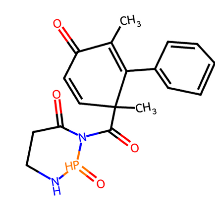 CC1=C(c2ccccc2)C(C)(C(=O)N2C(=O)CCN[PH]2=O)C=CC1=O